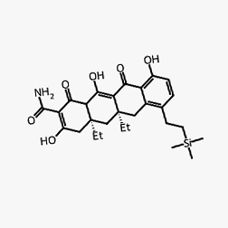 CC[C@@]12Cc3c(CC[Si](C)(C)C)ccc(O)c3C(=O)C1=C(O)C1C(=O)C(C(N)=O)=C(O)C[C@]1(CC)C2